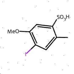 COc1cc(S(=O)(=O)O)c(C)cc1I